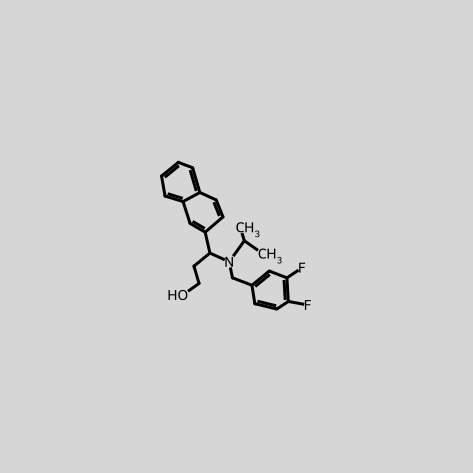 CC(C)N(Cc1ccc(F)c(F)c1)C(CCO)c1ccc2ccccc2c1